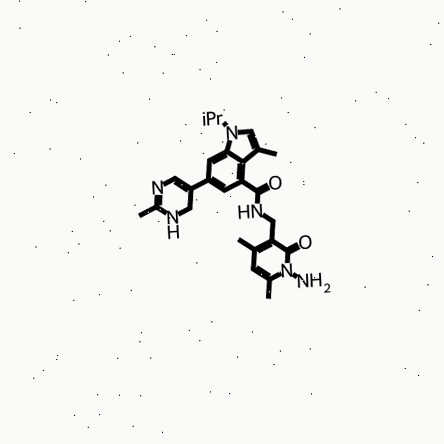 CC1=NC=C(c2cc(C(=O)NCc3c(C)cc(C)n(N)c3=O)c3c(C)cn(C(C)C)c3c2)CN1